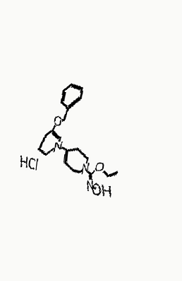 CCOC(=NO)N1CCC(N2C=C(OCc3ccccc3)CCC2)CC1.Cl